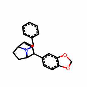 C1=CC2CCC(C1c1ccc3c(c1)OCO3)N2Cc1ccccc1